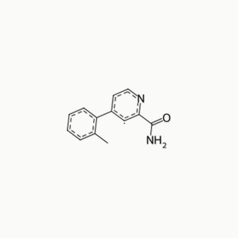 Cc1ccccc1-c1[c]c(C(N)=O)ncc1